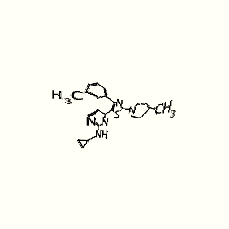 Cc1cccc(-c2nc(N3CCC(C)CC3)sc2-c2ccnc(NC3CC3)n2)c1